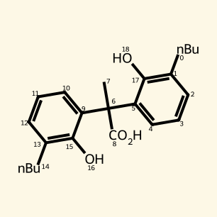 CCCCc1cccc(C(C)(C(=O)O)c2cccc(CCCC)c2O)c1O